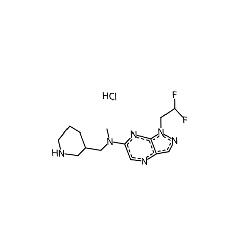 CN(CC1CCCNC1)c1cnc2cnn(CC(F)F)c2n1.Cl